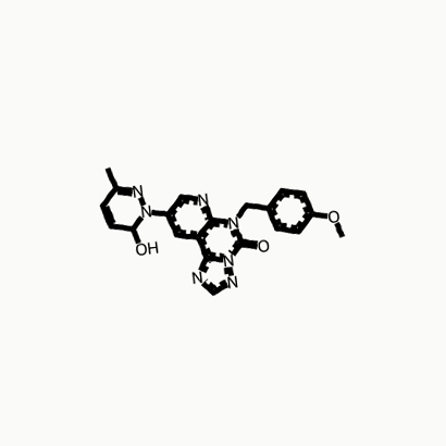 COc1ccc(Cn2c(=O)n3ncnc3c3cc(N4N=C(C)C=CC4O)cnc32)cc1